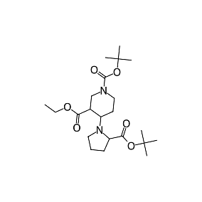 CCOC(=O)C1CN(C(=O)OC(C)(C)C)CCC1N1CCCC1C(=O)OC(C)(C)C